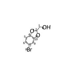 OCC1Oc2ccc(Br)cc2O1